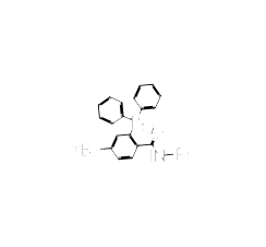 CC(C)NC(=O)c1ccc(C(C)(C)C)cc1P(=O)(c1ccccc1)c1ccccc1